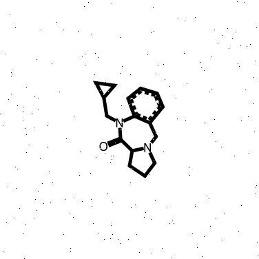 O=C1C2CCCN2Cc2ccccc2N1CC1CC1